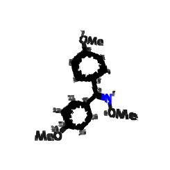 CON=C(c1ccc(OC)cc1)c1ccc(OC)cc1